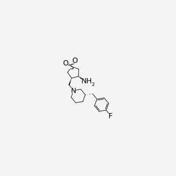 N[C@@H]1CS(=O)(=O)C[C@@H]1CN1CCC[C@@H](Cc2ccc(F)cc2)C1